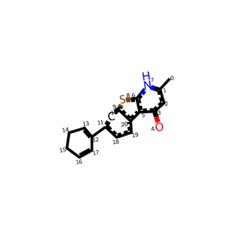 Cc1cc(=O)c2c([nH]1)sc1cc(C3=CCCC=C3)ccc12